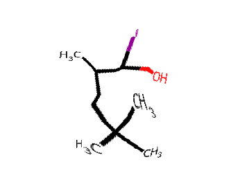 CC(CC(C)(C)C)C(O)I